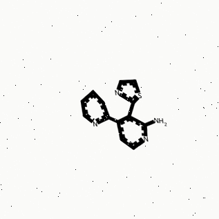 Nc1nccc(-c2ccccn2)c1-c1nccs1